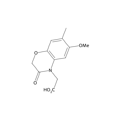 COc1cc2c(cc1C)OCC(=O)N2CC(=O)O